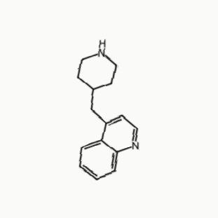 c1ccc2c(CC3CCNCC3)ccnc2c1